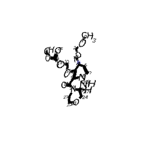 COCO/N=c1\ccn2c(c1OCOC(=O)OC)C(=O)N1CCOC[C@H]1N2